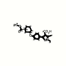 Cc1c(C(=O)O)c(-c2ccc(O[C@H]3CCC[C@H](C(=O)OC(C)C)C3)cc2)nn1C